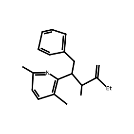 C=C(CC)C(C)C(Cc1ccccc1)c1nc(C)ccc1C